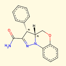 NC(=O)C1=NN2c3ccccc3OC[C@H]2[C@H]1c1ccccc1